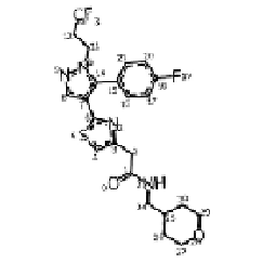 O=C(Cc1csc(-c2cnn(CCC(F)(F)F)c2-c2ccc(F)cc2)n1)NCC1CCOCC1